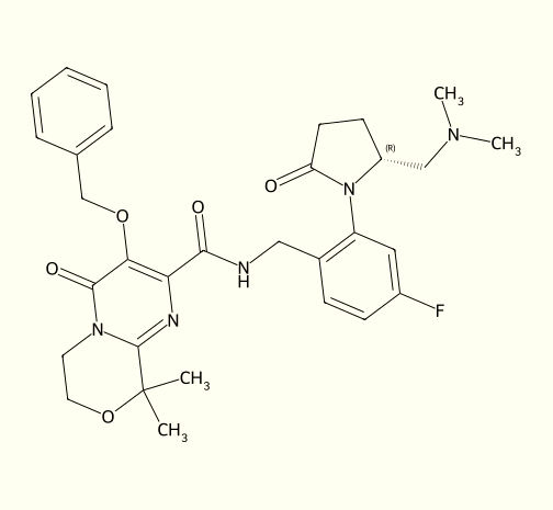 CN(C)C[C@H]1CCC(=O)N1c1cc(F)ccc1CNC(=O)c1nc2n(c(=O)c1OCc1ccccc1)CCOC2(C)C